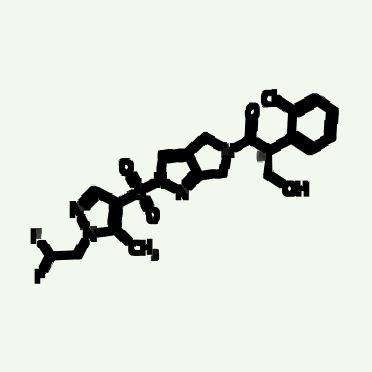 Cc1c(S(=O)(=O)n2cc3c(n2)CN(C(=O)[C@H](CO)c2ccccc2Cl)C3)cnn1CC(F)F